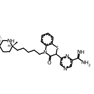 C[C@H]1CCC[C@@](C)(CCCCCN2C(=O)C(c3cncc(C(=N)N)n3)Sc3ccccc32)N1